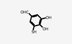 O=Cc1cc(O)c(O)c(S)c1